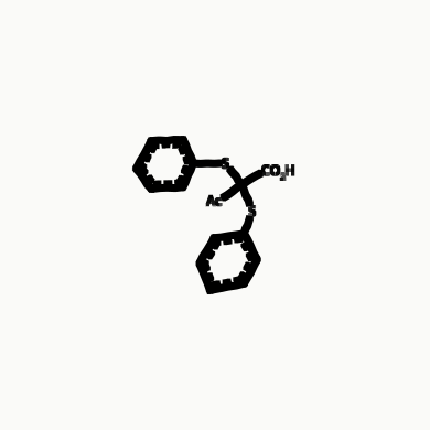 CC(=O)C(Sc1ccccc1)(Sc1ccccc1)C(=O)O